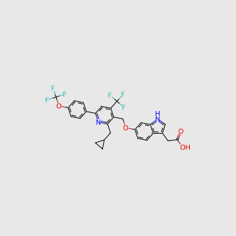 O=C(O)Cc1c[nH]c2cc(OCc3c(C(F)(F)F)cc(-c4ccc(OC(F)(F)F)cc4)nc3CC3CC3)ccc12